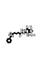 CCCCCn1/c(=N/NC(=O)CCCc2nc(-c3ccccc3)no2)[nH]c(=O)c2[nH]cnc21